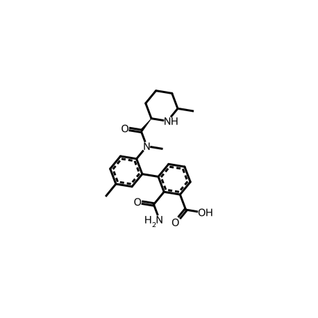 Cc1ccc(N(C)C(=O)[C@H]2CCCC(C)N2)c(-c2cccc(C(=O)O)c2C(N)=O)c1